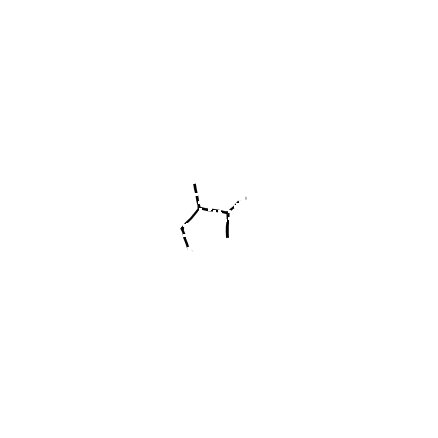 CCCCCC(C)C(C)CCC